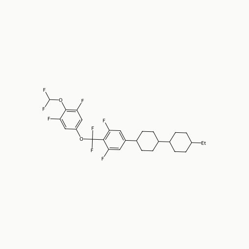 CCC1CCC(C2CCC(c3cc(F)c(C(F)(F)Oc4cc(F)c(OC(F)F)c(F)c4)c(F)c3)CC2)CC1